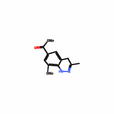 COC(=O)c1cc2c(c(OC)c1)NN=C(C)C2